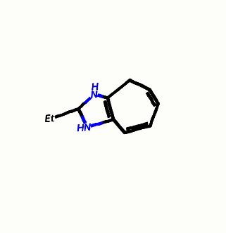 CCC1NC2=C(CC=CC=C2)N1